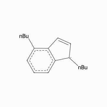 CCCC[C]1C=Cc2c(CCCC)cccc21